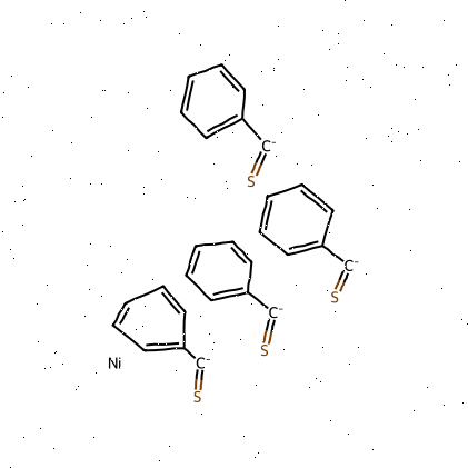 S=[C-]c1ccccc1.S=[C-]c1ccccc1.S=[C-]c1ccccc1.S=[C-]c1ccccc1.[Ni]